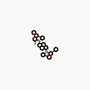 Fc1ccc(-c2ccccc2)cc1N(c1ccccc1-c1ccccc1)c1ccc2ccc3c(N(c4cc(-c5ccccc5)ccc4F)c4ccccc4-c4ccccc4)ccc4ccc1c2c43